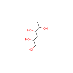 CC(O)C(O)CC(O)CO